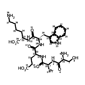 CC(C)[C@H](NC(=O)[C@@H](N)CO)C(=O)N[C@@H](CCC(=O)O)C(=O)N[C@@H](Cc1c[nH]c2ccccc12)C(=O)N[C@@H](CCCCN)C(=O)O